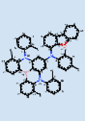 Cc1ccc(N(c2cc3c4c(c2)N(c2ccccc2C)c2c(C)cccc2B4c2cccc(C)c2N3c2ccccc2C)c2cccc3c2oc2ccccc23)c(C)c1